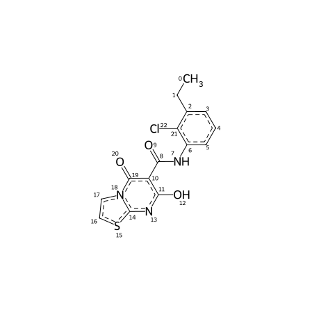 CCc1cccc(NC(=O)c2c(O)nc3sccn3c2=O)c1Cl